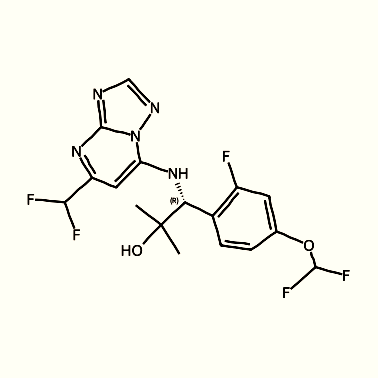 CC(C)(O)[C@H](Nc1cc(C(F)F)nc2ncnn12)c1ccc(OC(F)F)cc1F